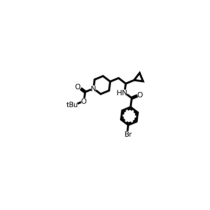 CC(C)(C)OC(=O)N1CCC(CC(NC(=O)c2ccc(Br)cc2)C2CC2)CC1